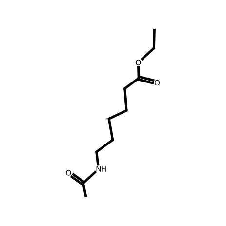 CCOC(=O)CC[CH]CCNC(C)=O